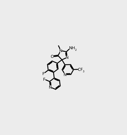 CN1C(=O)C(c2cncc(C(F)(F)F)c2)(c2ccc(F)c(-c3cccnc3F)c2)N=C1N